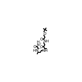 CC(CCNC(C)C(=O)CCNC(=O)CCOCC(C)(C)C)N[C@@H](C)C(N)=O